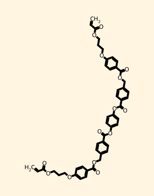 C=CC(=O)OCCCOc1ccc(C(=O)OCc2ccc(C(=O)Oc3ccc(OC(=O)c4ccc(COC(=O)c5ccc(OCCCOC(=O)C=C)cc5)cc4)cc3)cc2)cc1